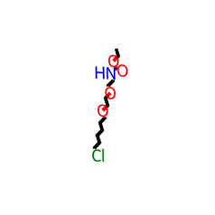 CCOC(=O)NCCOCCOCCCCCCCl